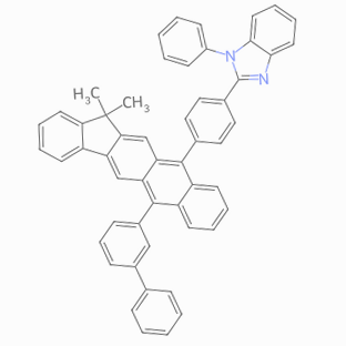 CC1(C)c2ccccc2-c2cc3c(-c4cccc(-c5ccccc5)c4)c4ccccc4c(-c4ccc(-c5nc6ccccc6n5-c5ccccc5)cc4)c3cc21